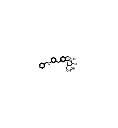 OC[C@H]1O[C@]2(OCc3ccc(Cc4cccc(OCc5ccccc5)c4)cc32)[C@H](O)[C@@H](O)[C@@H]1O